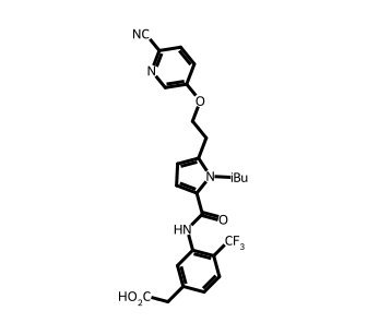 CCC(C)n1c(CCOc2ccc(C#N)nc2)ccc1C(=O)Nc1cc(CC(=O)O)ccc1C(F)(F)F